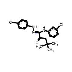 CC(C)(C)CC(=O)/C(=N/Nc1ccc(Cl)cc1)Nc1cccc(Cl)c1